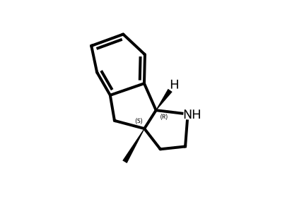 C[C@]12CCN[C@H]1c1ccccc1C2